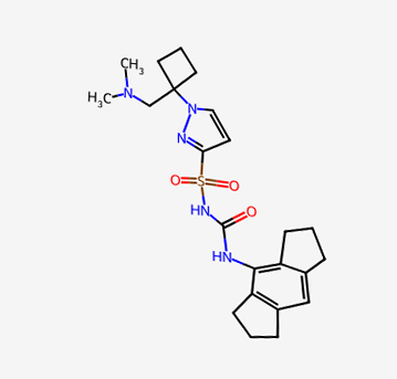 CN(C)CC1(n2ccc(S(=O)(=O)NC(=O)Nc3c4c(cc5c3CCC5)CCC4)n2)CCC1